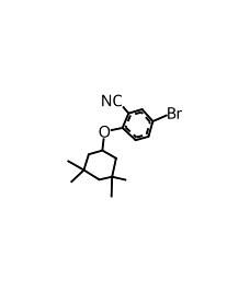 CC1(C)CC(Oc2ccc(Br)cc2C#N)CC(C)(C)C1